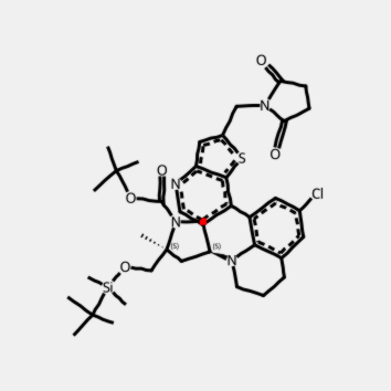 CC(C)(C)OC(=O)N1C[C@@H](N2CCCc3cc(Cl)cc(-c4ccnc5cc(CN6C(=O)CCC6=O)sc45)c32)C[C@@]1(C)CO[Si](C)(C)C(C)(C)C